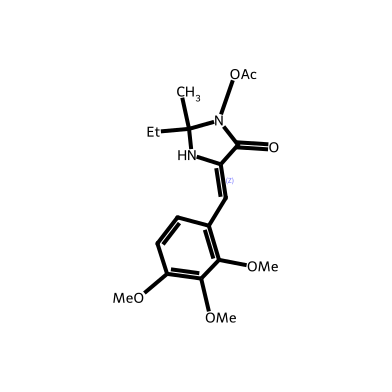 CCC1(C)N/C(=C\c2ccc(OC)c(OC)c2OC)C(=O)N1OC(C)=O